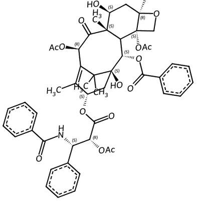 CC(=O)O[C@H]1C(=O)[C@@]2(C)C([C@H](OC(=O)c3ccccc3)[C@]3(O)C[C@H](OC(=O)[C@H](OC(C)=O)[C@@H](NC(=O)c4ccccc4)c4ccccc4)C(C)=C1C3(C)C)[C@]1(OC(C)=O)CO[C@@H]1C[C@@H]2O